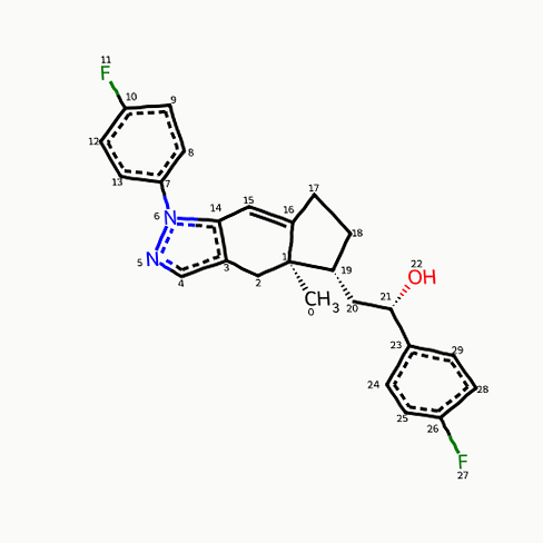 C[C@]12Cc3cnn(-c4ccc(F)cc4)c3C=C1CC[C@@H]2C[C@H](O)c1ccc(F)cc1